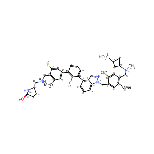 COc1cc(Cn2ncc3c(-c4cccc(-c5cc(F)c(CNC[C@@H]6CCC(=O)N6)c(OC)c5)c4Cl)cccc32)c(Cl)cc1CN(C)C1CC(C(=O)O)C1